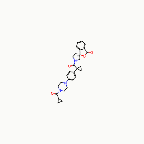 O=C1O[C@]2(CCN(C(=O)C3(c4ccc(N5CCN(C(=O)C6CC6)CC5)cc4)CC3)C2)c2ccccc21